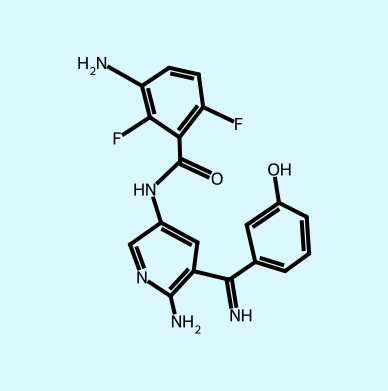 N=C(c1cccc(O)c1)c1cc(NC(=O)c2c(F)ccc(N)c2F)cnc1N